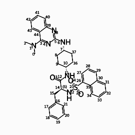 CN(C)c1nc(N[C@H]2CC[C@@H](NC(=O)[C@H](Cc3ccccc3)NS(=O)(=O)c3cccc4ccccc34)CC2)nc2ccccc12